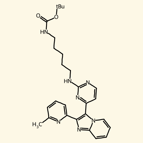 Cc1cccc(-c2nc3ccccn3c2-c2ccnc(NCCCCCNC(=O)OC(C)(C)C)n2)n1